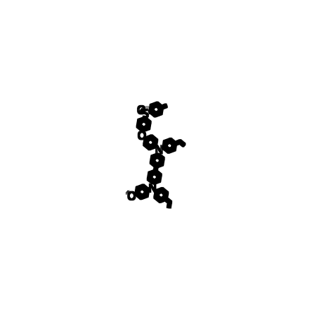 CCc1ccc(N(c2ccc(OC)cc2)c2ccc(-c3ccc(N(c4ccc(CC)cc4)c4ccc(Oc5ccc([S+]([O-])c6ccc(C)cc6)cc5)cc4)cc3)cc2)cc1